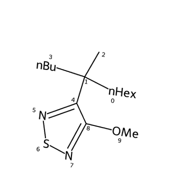 CCCCCCC(C)(CCCC)c1nsnc1OC